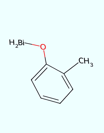 Cc1ccccc1[O][BiH2]